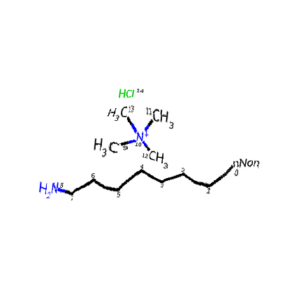 CCCCCCCCCCCCCCCCN.C[N+](C)(C)C.Cl